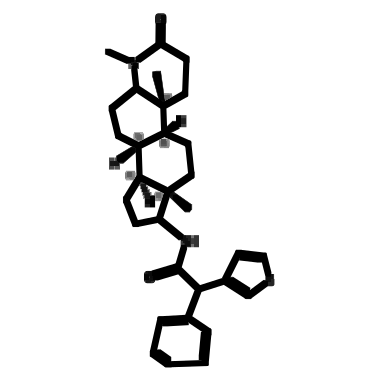 CN1C(=O)CC[C@@]2(C)C1CC[C@@H]1[C@H]2CC[C@]2(C)C(NC(=O)C(c3ccccc3)c3ccsc3)CC[C@@H]12